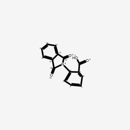 O=C(O)c1ccccc1N1C(=O)c2ccccc2C1=O